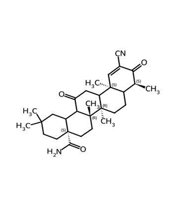 C[C@@H]1C(=O)C(C#N)=C[C@@]2(C)C1CC[C@]1(C)C2CC(=O)C2C3CC(C)(C)CC[C@]3(C(N)=O)CC[C@]21C